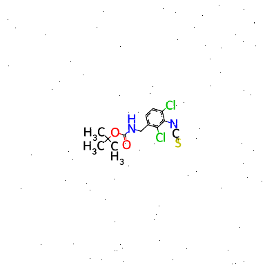 CC(C)(C)OC(=O)NCc1ccc(Cl)c(N=C=S)c1Cl